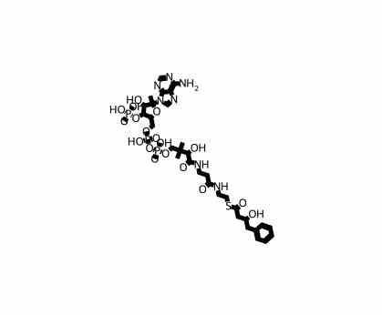 CC(C)(COP(=O)(O)OP(=O)(O)OCC1OC(C)(n2cnc3c(N)ncnc32)C(O)C1OP(=O)(O)O)C(O)C(=O)NCCC(=O)NCCSC(=O)CC(O)Cc1ccccc1